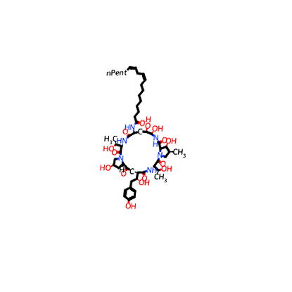 CCCCC/C=C\C/C=C\CCCCCCCC(=O)N[C@H]1C[C@@H](O)[C@@H](O)NC(=O)C2[C@@H](O)[C@@H](C)CN2C(=O)[C@H]([C@@H](C)O)NC(=O)[C@H]([C@H](O)Cc2ccc(O)cc2)CC(=O)[C@@H]2C[C@@H](O)CN2C(=O)[C@H]([C@@H](C)O)NC1=O